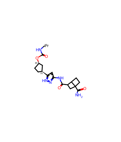 CC(C)NC(=O)O[C@@H]1CC[C@H](c2cc(NC(=O)C3CC4(C(N)=O)CCC34)n[nH]2)C1